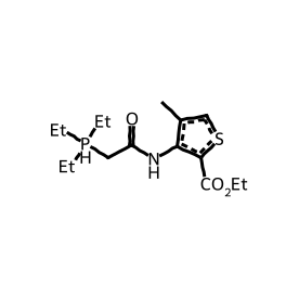 CCOC(=O)c1scc(C)c1NC(=O)C[PH](CC)(CC)CC